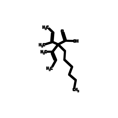 CC=C(C)C(CCCCCC)(C(=O)O)C(C)=CC